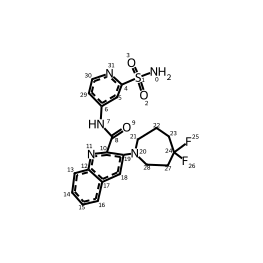 NS(=O)(=O)c1cc(NC(=O)c2nc3ccccc3cc2N2CCCC(F)(F)CC2)ccn1